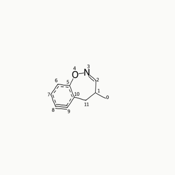 CC1C=NOc2ccc#cc2C1